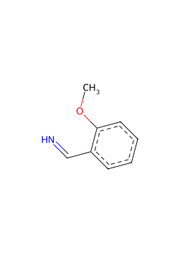 COc1ccccc1C=N